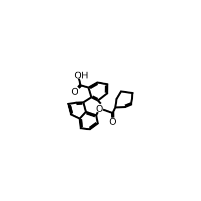 Cc1cccc(C(=O)O)c1-c1cccc2cccc(OC(=O)C3C=CCCC3)c12